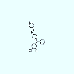 Clc1ccc(C(c2ccccc2)N2CCC(/N=C/c3ccncc3)CC2)cc1Cl